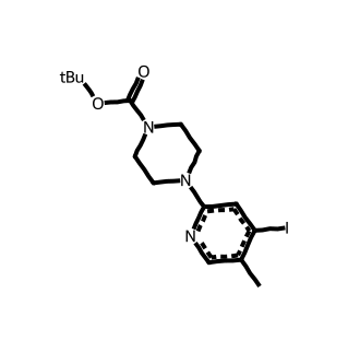 Cc1cnc(N2CCN(C(=O)OC(C)(C)C)CC2)cc1I